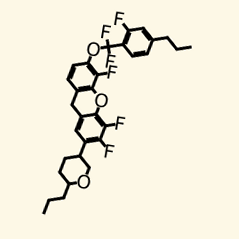 CCCc1ccc(C(F)(F)Oc2ccc3c(c2F)Oc2c(cc(C4CCC(CCC)OC4)c(F)c2F)C3)c(F)c1